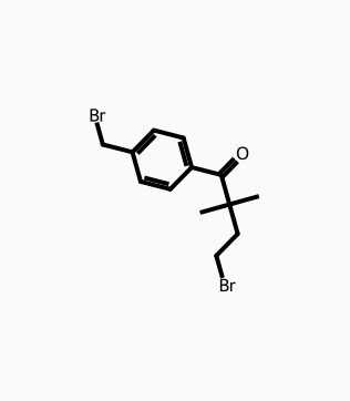 CC(C)(CCBr)C(=O)c1ccc(CBr)cc1